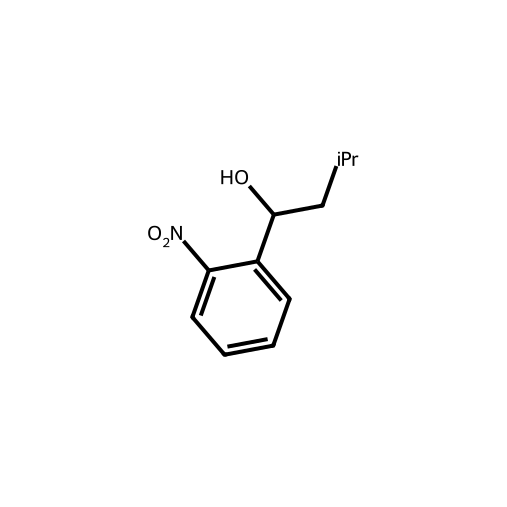 CC(C)CC(O)c1ccccc1[N+](=O)[O-]